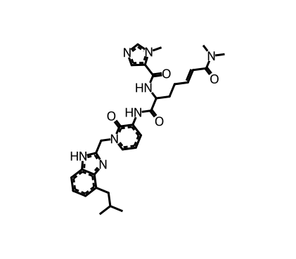 CC(C)Cc1cccc2[nH]c(Cn3cccc(NC(=O)C(CCC=CC(=O)N(C)C)NC(=O)c4cncn4C)c3=O)nc12